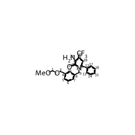 COCOCc1cccc(Cn2c(-c3ccccc3)cc(C(F)(F)F)c(N)c2=O)c1